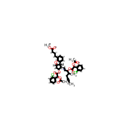 CC#CCC(C)C(/C=C/[C@@H]1[C@H]2c3cccc(CCCC(=O)OC)c3O[C@H]2C[C@H]1OC(=O)C(OC(C)=O)c1ccccc1Cl)OC(=O)C(OC(C)=O)c1ccccc1Cl